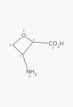 NC1COC1C(=O)O